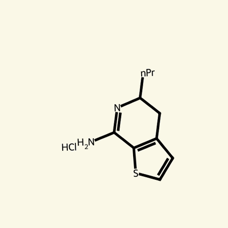 CCCC1Cc2ccsc2C(N)=N1.Cl